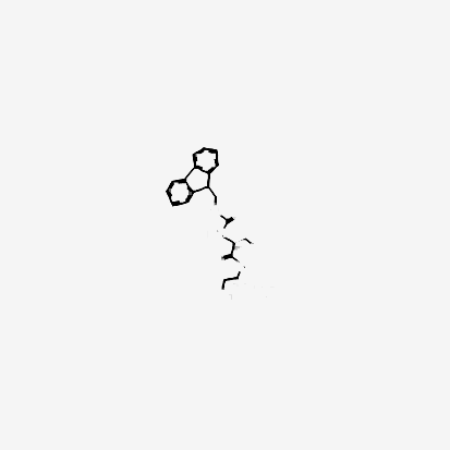 CCOC(=O)[C@H](CC(C)C)NC(=O)[C@H](CS)NC(=O)OCC1c2ccccc2-c2ccccc21